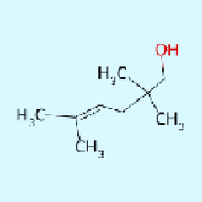 CC(C)=CCC(C)(C)CO